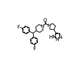 O=C(N1CCC(C(c2ccc(F)cc2)c2ccc(F)cc2)CC1)N1CCC(c2cnn[nH]2)C1